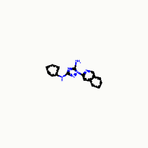 Nc1nc(Nc2ccccc2)nn1-c1cc2ccccc2cn1